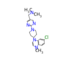 CN(C)Cc1cnc(N2CCC(N3C=CN(C)c4ccc(Cl)cc43)CC2)nc1